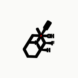 C#C[C@@H]1CC2CCC[C@@H]([C@@H]1F)N2B(C)O